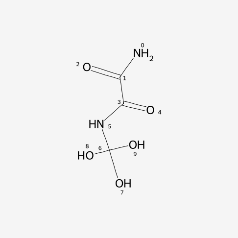 NC(=O)C(=O)NC(O)(O)O